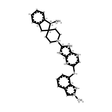 Cn1cc2cccc(Sc3cnc4[nH]c(N5CCC6(CC5)Cc5ccccc5[C@H]6N)nc4n3)c2n1